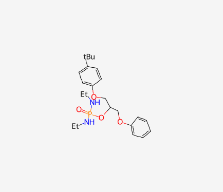 CCNP(=O)(NCC)OC(COc1ccccc1)COc1ccc(C(C)(C)C)cc1